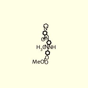 COC(=O)COc1ccc(C2Nc3ccc(N4Cc5cc(N6CCCCC6)ccc5C4=O)cc3N2C)cc1